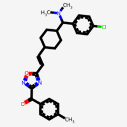 Cc1ccc(C(=O)c2noc(/C=C/C3CCC(C(c4ccc(Cl)cc4)N(C)C)CC3)n2)cc1